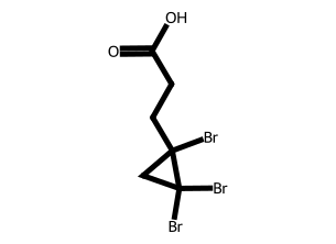 O=C(O)CCC1(Br)CC1(Br)Br